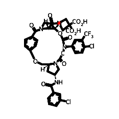 O=C(N[C@@H]1C[C@H]2COc3ccc(cc3)C(=O)N3CC[C@H](OC(=O)N(c4ccc(Cl)c(C(F)(F)F)c4)CC(=O)N2C1)[C@H]3C(=O)N1CC(C(=O)O)(C(=O)O)C1)c1cccc(Cl)c1